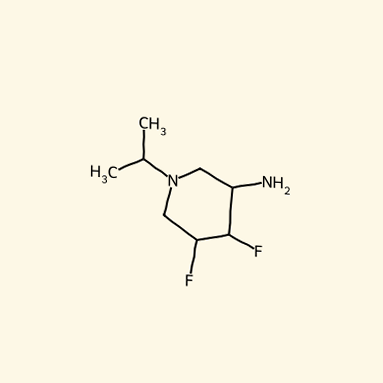 CC(C)N1CC(N)C(F)C(F)C1